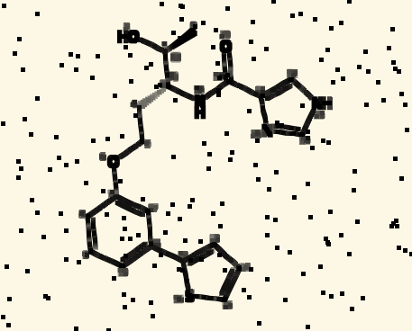 C[C@H](O)[C@@H](CCOc1cccc(-c2cccs2)c1)NC(=O)c1c[nH]cn1